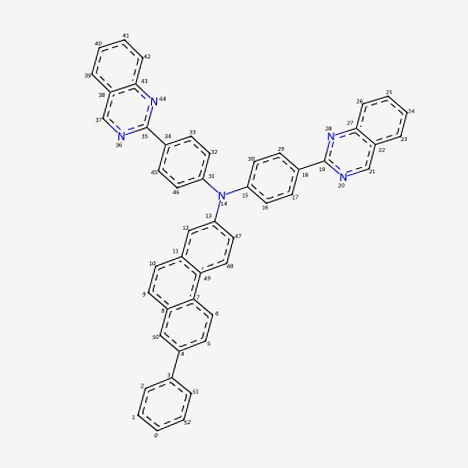 c1ccc(-c2ccc3c(ccc4cc(N(c5ccc(-c6ncc7ccccc7n6)cc5)c5ccc(-c6ncc7ccccc7n6)cc5)ccc43)c2)cc1